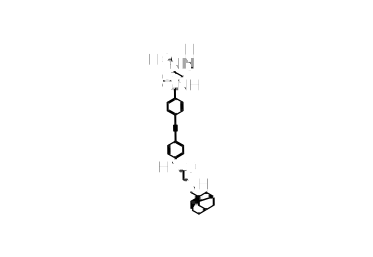 NC[C@H](NC(=O)c1ccc(C#Cc2ccc(NC(=O)CNCC34CC5CC(CC(C5)C3)C4)cc2)cc1)C(=O)NO